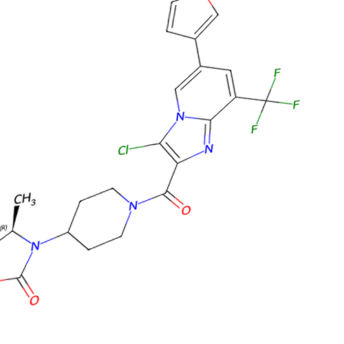 C[C@@H]1COC(=O)N1C1CCN(C(=O)c2nc3c(C(F)(F)F)cc(-c4ccoc4)cn3c2Cl)CC1